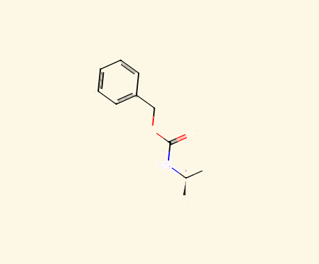 CC[C@@H](NC(=O)OCc1ccccc1)C(=O)O